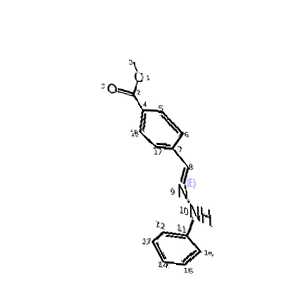 COC(=O)c1ccc(/C=N/Nc2ccccc2)cc1